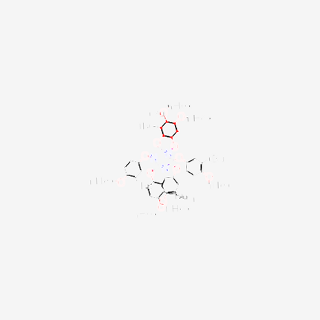 CCCCCCOc1ccc(ON2P(Oc3ccc(OCCCCCC)c(C(C)(C)C)c3)N=P(Oc3ccc(OCCCCCC)c(C(C)(C)C)c3)(Oc3ccc(OCCCCCC)c(C(C)(C)C)c3)N(Oc3ccc(OCCCCCC)c(C(C)(C)C)c3)P2Oc2ccc(OCCCCCC)c(C(C)(C)C)c2)cc1C(C)(C)C